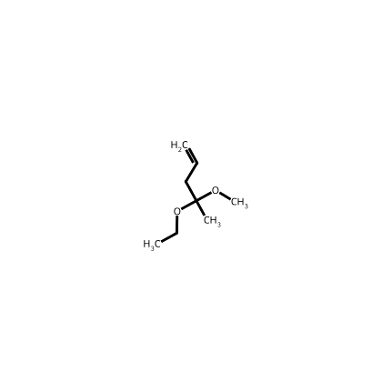 C=CCC(C)(OC)OCC